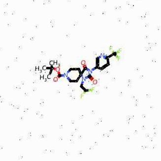 CC(C)(C)OC(=O)N1CCC2(CC1)C(=O)N(c1ccc(C(F)(F)F)nc1)C(=O)N2CC(F)F